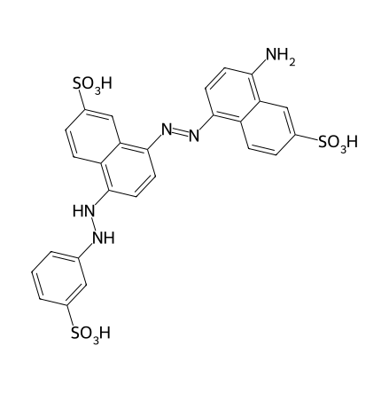 Nc1ccc(/N=N/c2ccc(NNc3cccc(S(=O)(=O)O)c3)c3ccc(S(=O)(=O)O)cc23)c2ccc(S(=O)(=O)O)cc12